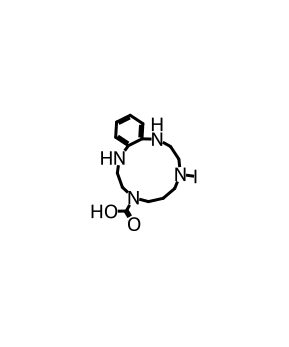 O=C(O)N1CCCN(I)CCNc2ccccc2NCC1